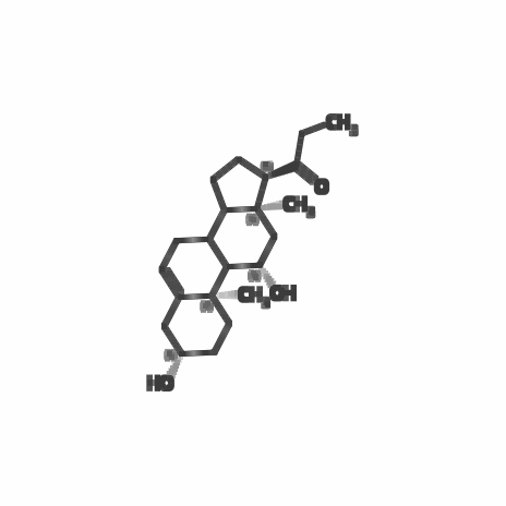 CCC(=O)[C@@H]1CCC2C3CC=C4C[C@@H](O)CC[C@]4(C)C3[C@@H](O)C[C@@]21C